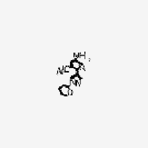 N#Cc1cc(N)cnc1-c1cnn(C2CCCCO2)c1